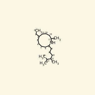 CCC1CCCCC(CCCC(C)C(C)C)NC(C)CCC1